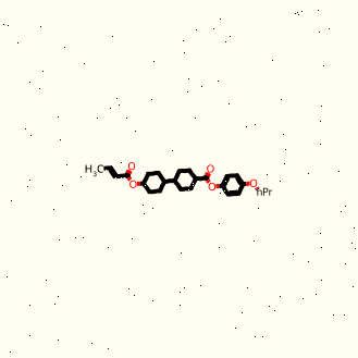 C/C=C/C(=O)OC1CCC(C2CCC(C(=O)Oc3ccc(OCCC)cc3)CC2)CC1